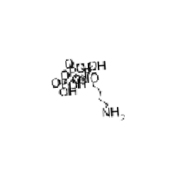 NCCCCOP(=O)(O)OP(=O)(O)OP(=O)(O)O